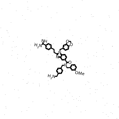 COc1cccc(CN(Cc2ccc(CN)cc2)C(=O)c2ccc3c(c2)nc(CCc2ccc(C(=N)N)cc2)n3Cc2ccc3c(c2)OCO3)c1